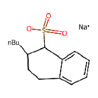 CCCCC1CCc2ccccc2C1S(=O)(=O)[O-].[Na+]